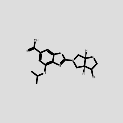 CC(C)Oc1cc(C(=O)O)cc2sc(N3C[C@@H]4OCC(O)[C@@H]4C3)nc12